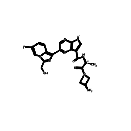 C[C@@H](NC(=O)c1c[nH]c2ncc(-c3nc(CO)n4cc(F)ccc34)nc12)C(=O)N1CC(N)C1